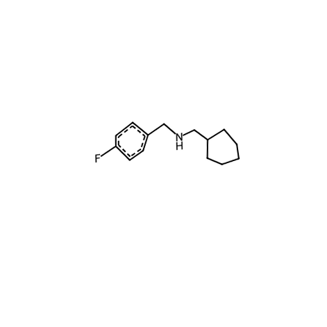 Fc1ccc(CNCC2CCCCC2)cc1